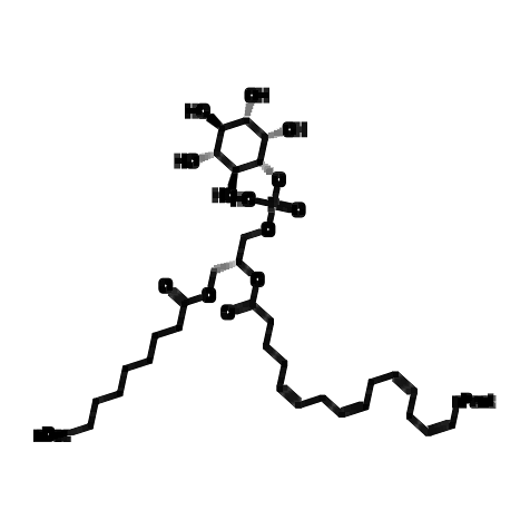 CCCCC/C=C\C/C=C\C/C=C\C/C=C\CCCC(=O)O[C@H](COC(=O)CCCCCCCCCCCCCCCCC)COP(=O)(O)O[C@@H]1[C@@H](O)[C@H](O)[C@@H](O)[C@H](O)[C@@H]1O